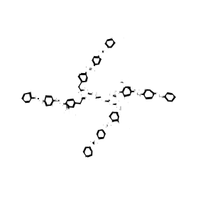 CCCOc1cc(N=Nc2ccc(N=Nc3ccccc3)cc2S(=O)(=O)O)c(C)cc1Nc1nc(NCCNc2nc(Cc3ccc(N=Nc4ccc(N=Nc5ccc(S(=O)(=O)O)cc5)cc4)c(C)c3)nc(Cc3ccc(N=Nc4ccc(N=Nc5ccccc5)cc4S(=O)(=O)O)c(C)c3)n2)nc(Nc2ccc(N=Nc3ccc(N=Nc4ccc(S(=O)(=O)O)cc4)cc3)c(C)c2)n1